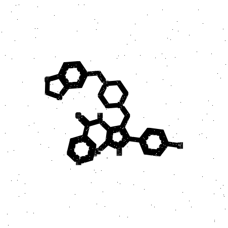 Cc1[nH]c(-c2ccc(Cl)cc2)c(CN2CCN(Cc3ccc4c(c3)OCO4)CC2)c1NC(=O)c1ccncc1